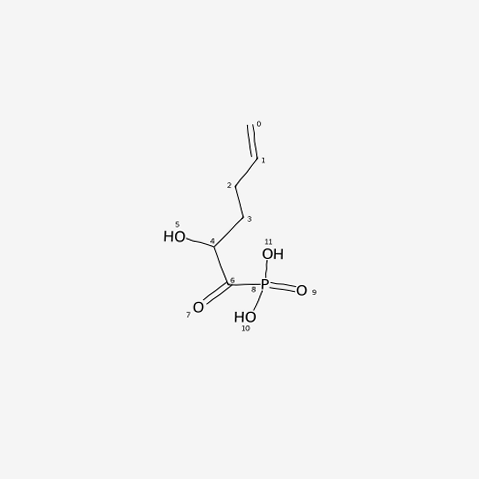 C=CCCC(O)C(=O)P(=O)(O)O